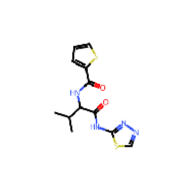 CC(C)C(NC(=O)c1cccs1)C(=O)Nc1nncs1